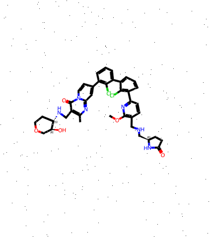 COc1nc(-c2cccc(-c3cccc(-c4ccn5c(=O)c(CN[C@H]6CCOC[C@@H]6O)c(C)nc5c4)c3Cl)c2Cl)ccc1CNC[C@H]1CCC(=O)N1